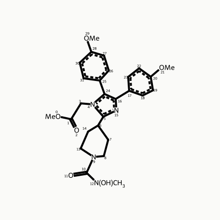 COC(=O)Cn1c(C2CCN(C(=O)N(C)O)CC2)nc(-c2ccc(OC)cc2)c1-c1ccc(OC)cc1